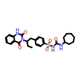 CCC(Cc1ccc(S(=O)(=O)NC(=O)NC2CCCCCC2)cc1)n1c(=O)[nH]c2ccccc2c1=O